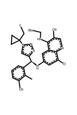 Cc1c(C#N)cccc1[C@H](Nc1cc(Cl)c2ncc(C#N)c(NCC(C)(C)C)c2c1)c1cn(C2(CF)CC2)nn1